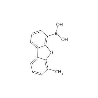 Cc1cccc2c1oc1c(B(O)O)cccc12